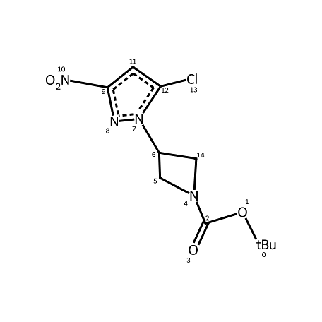 CC(C)(C)OC(=O)N1CC(n2nc([N+](=O)[O-])cc2Cl)C1